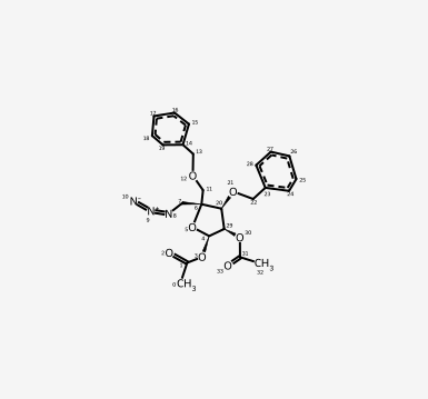 CC(=O)O[C@H]1O[C@](CN=[N+]=[N-])(COCc2ccccc2)[C@@H](OCc2ccccc2)[C@H]1OC(C)=O